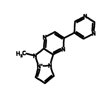 Cn1c2ncc(-c3cncnc3)nc2n2ccc[n+]12